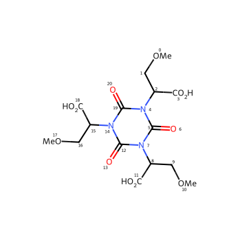 COCC(C(=O)O)n1c(=O)n(C(COC)C(=O)O)c(=O)n(C(COC)C(=O)O)c1=O